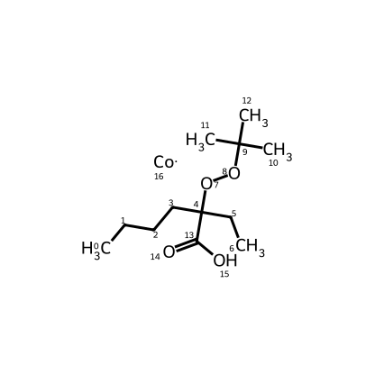 CCCCC(CC)(OOC(C)(C)C)C(=O)O.[Co]